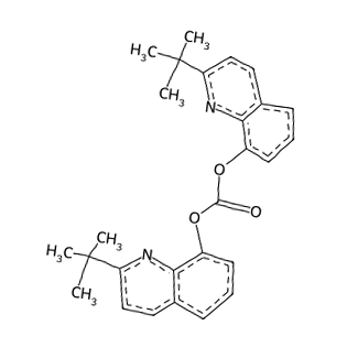 CC(C)(C)c1ccc2cccc(OC(=O)Oc3cccc4ccc(C(C)(C)C)nc34)c2n1